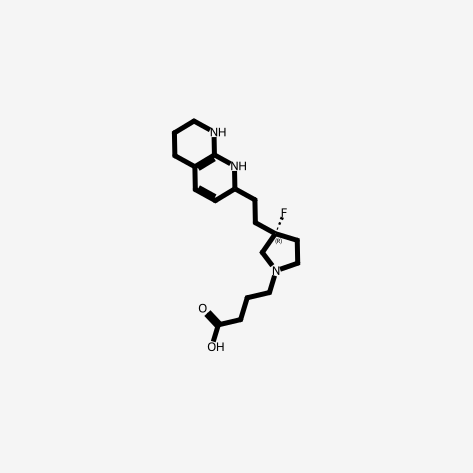 O=C(O)CCCN1CC[C@](F)(CCC2C=CC3=C(NCCC3)N2)C1